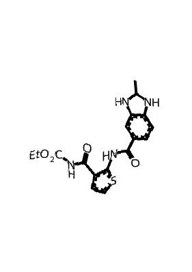 CCOC(=O)NC(=O)c1ccsc1NC(=O)c1ccc2c(c1)NC(C)N2